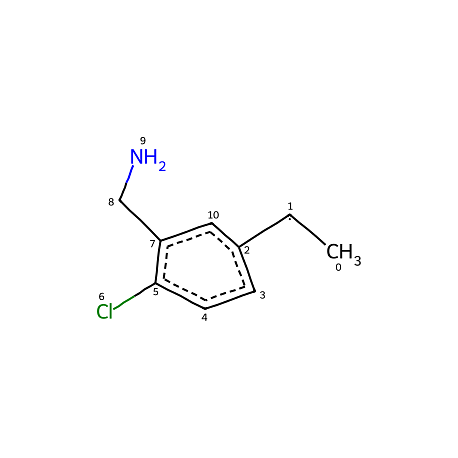 C[CH]c1ccc(Cl)c(CN)c1